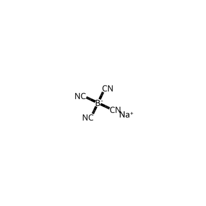 N#C[B-](C#N)(C#N)C#N.[Na+]